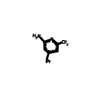 CC(C)c1cc(N)nc(C(F)(F)F)c1